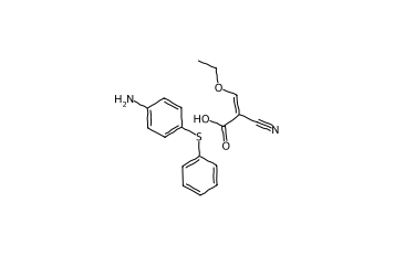 CCO/C=C(/C#N)C(=O)O.Nc1ccc(Sc2ccccc2)cc1